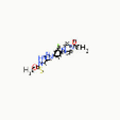 COC(=S)NCc1cn(-c2ccc(N3CCN(C(C)=O)CC3)c(F)c2)nn1